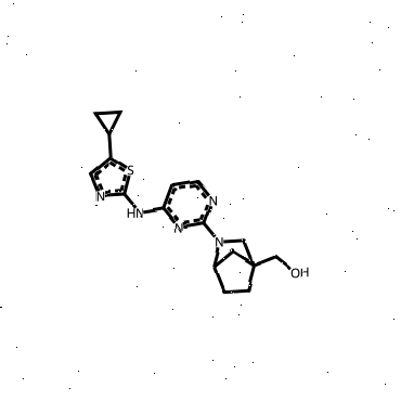 OCC12CCC(C1)N(c1nccc(Nc3ncc(C4CC4)s3)n1)C2